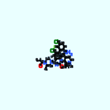 C=CC(=O)N1C[C@H](C)N(c2nc(=O)n(C3=C(C(C)C)N(C)CC=C3SC)c3nc(-c4c(N)ccc(Cl)c4F)c(Cl)cc23)C[C@H]1C